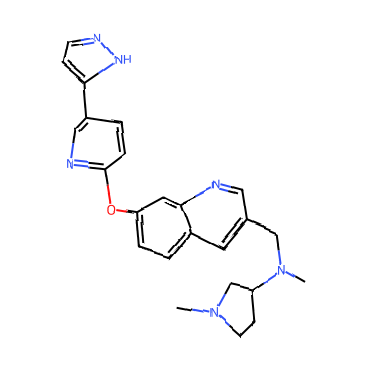 CN1CCC(N(C)Cc2cnc3cc(Oc4ccc(-c5ccn[nH]5)cn4)ccc3c2)C1